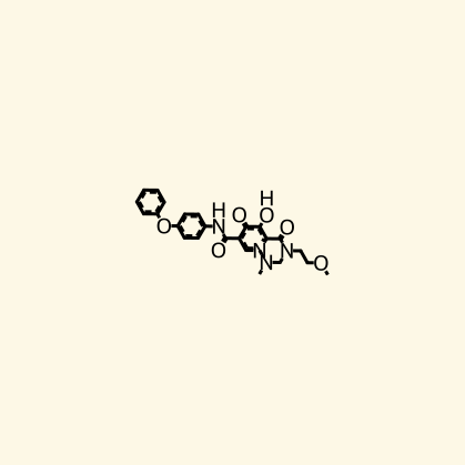 COCCN1CN(C)n2cc(C(=O)Nc3ccc(Oc4ccccc4)cc3)c(=O)c(O)c2C1=O